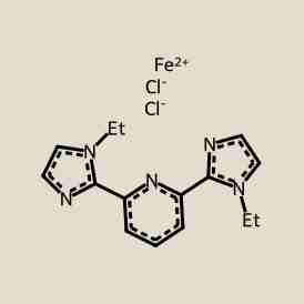 CCn1ccnc1-c1cccc(-c2nccn2CC)n1.[Cl-].[Cl-].[Fe+2]